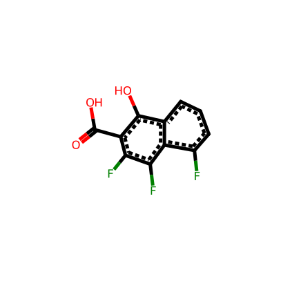 O=C(O)c1c(F)c(F)c2c(F)cccc2c1O